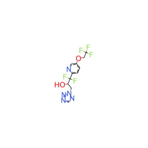 OC(Cn1ncnn1)C(F)(F)c1ccc(OCC(F)(F)F)cn1